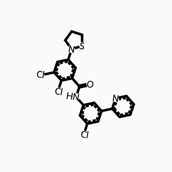 O=C(Nc1cc(Cl)cc(-c2ccccn2)c1)c1cc(N2CCCS2)cc(Cl)c1Cl